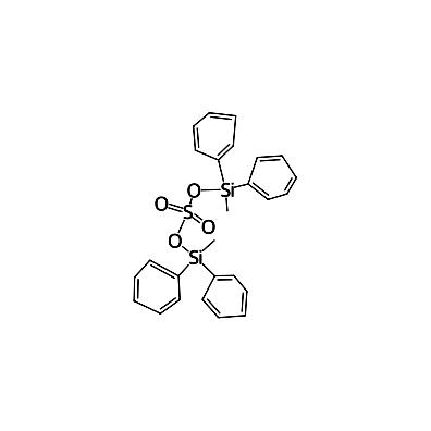 C[Si](OS(=O)(=O)O[Si](C)(c1ccccc1)c1ccccc1)(c1ccccc1)c1ccccc1